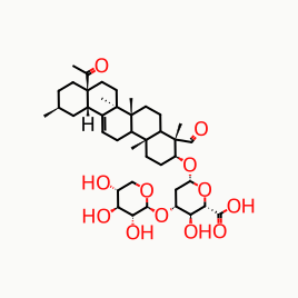 CC(=O)[C@]12CC[C@H](C)C[C@H]1C1=CCC3[C@@]4(C)CC[C@H](O[C@H]5C[C@@H](O[C@@H]6OC[C@@H](O)[C@H](O)[C@H]6O)[C@H](O)[C@@H](C(=O)O)O5)[C@@](C)(C=O)C4CC[C@@]3(C)[C@]1(C)CC2